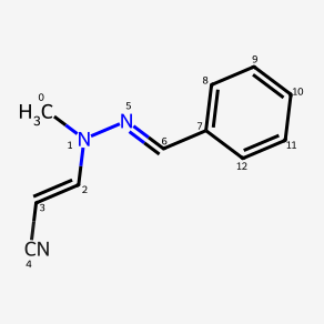 CN(C=CC#N)N=Cc1ccccc1